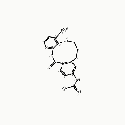 N=C(N)Nc1ccc2c(c1)CCCOc1c(cccc1C(=O)O)OC2=O